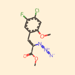 COC(=O)/C(=C/c1cc(F)c(Cl)cc1OC)N=[N+]=[N-]